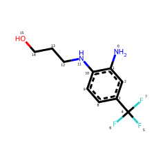 Nc1cc(C(F)(F)F)ccc1NCCCO